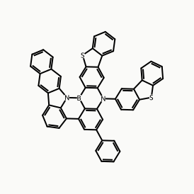 c1ccc(-c2cc3c4c(c2)N(c2ccc5sc6ccccc6c5c2)c2cc5c(cc2B4n2c4cc6ccccc6cc4c4cccc-3c42)sc2ccccc25)cc1